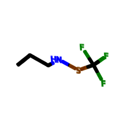 CCCNSC(F)(F)F